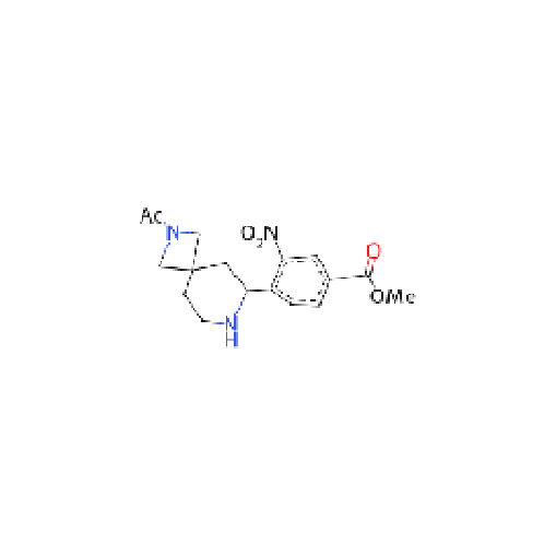 COC(=O)c1ccc(C2CC3(CCN2)CN(C(C)=O)C3)c([N+](=O)[O-])c1